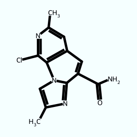 Cc1cc2cc(C(N)=O)c3nc(C)cn3c2c(Cl)n1